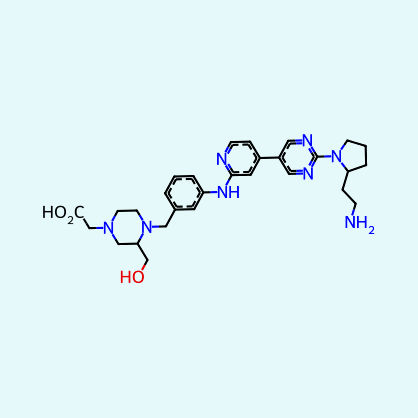 NCCC1CCCN1c1ncc(-c2ccnc(Nc3cccc(CN4CCN(CC(=O)O)CC4CO)c3)c2)cn1